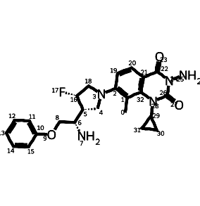 Cc1c(N2C[C@H]([C@H](N)COc3ccccc3)[C@H](F)C2)ccc2c(=O)n(N)c(=O)n(C3CC3)c12